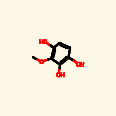 COc1c(O)ccc(O)c1O